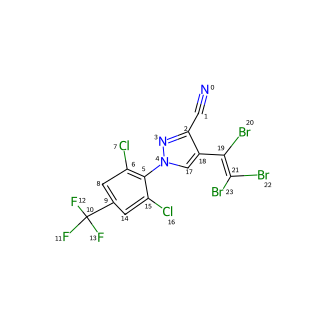 N#Cc1nn(-c2c(Cl)cc(C(F)(F)F)cc2Cl)cc1C(Br)=C(Br)Br